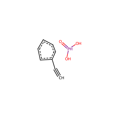 C#Cc1ccccc1.O=[PH](O)O